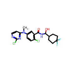 CN(c1ccc(Cl)c(C(=O)NC(O)C2CCC(F)(F)CC2)c1)c1ccnc(Cl)n1